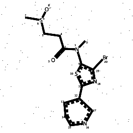 CN(C(=O)CC[S+](C)[O-])c1sc(-c2cccnc2)nc1Br